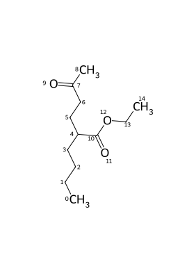 CCCCC(CCC(C)=O)C(=O)OCC